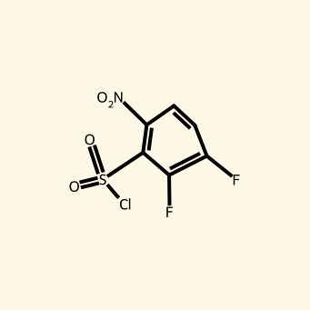 O=[N+]([O-])c1ccc(F)c(F)c1S(=O)(=O)Cl